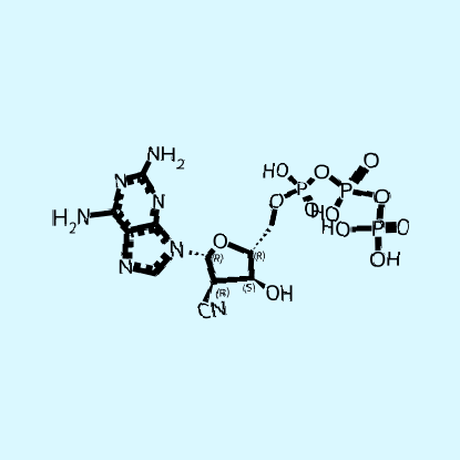 N#C[C@@H]1[C@H](O)[C@@H](COP(=O)(O)OP(=O)(O)OP(=O)(O)O)O[C@H]1n1cnc2c(N)nc(N)nc21